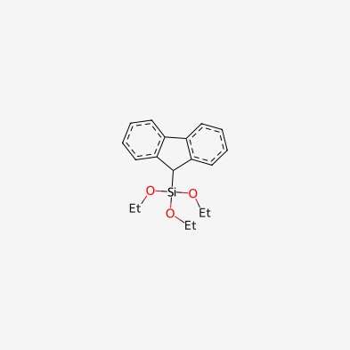 CCO[Si](OCC)(OCC)C1c2ccccc2-c2ccccc21